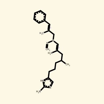 C=NN(/C=C(\N)CC(C)CCCc1cnc(N)[nH]1)C/C(C)=C/c1ccccc1